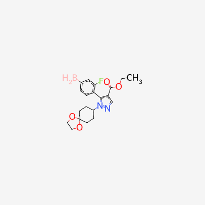 Bc1ccc(-c2c(C(=O)OCC)cnn2C2CCC3(CC2)OCCO3)c(F)c1